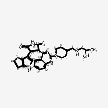 CC(O)CNCC1CCN(c2nc(C3=C(c4c[nH]c5ccsc45)C(=O)NC3=O)c3ccccc3n2)CC1